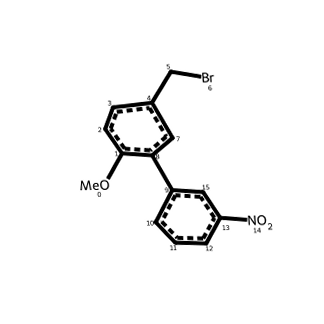 COc1ccc(CBr)cc1-c1cccc([N+](=O)[O-])c1